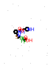 O=C(Nc1ccccc1-c1nc(Br)cs1)OCC1CCNCC1.O=C(O)C(F)(F)F